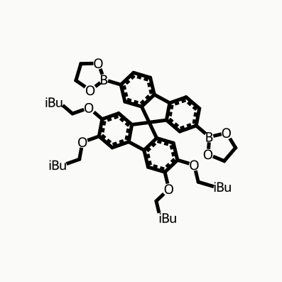 CCC(C)COc1cc2c(cc1OCC(C)CC)C1(c3cc(B4OCCO4)ccc3-c3ccc(B4OCCO4)cc31)c1cc(OCC(C)CC)c(OCC(C)CC)cc1-2